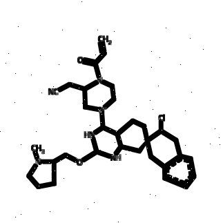 C=CC(=O)N1CCN(C2NC(OCC3CCCN3C)NC3C[C@]4(CCC32)Cc2ccccc2CC4Cl)CC1CC#N